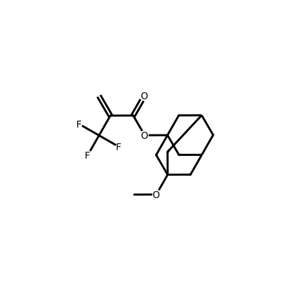 C=C(C(=O)OC12CC3CC(CC(OC)(C3)C1)C2)C(F)(F)F